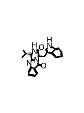 CC(C)[C@H]1NC(=O)[C@@H](Cc2c[nH]c3ccccc23)n2c1nc1ccccc1c2=O